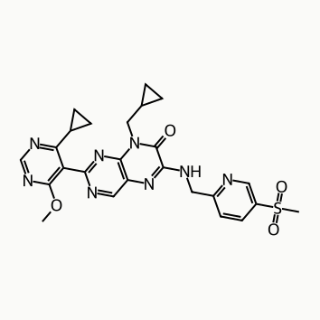 COc1ncnc(C2CC2)c1-c1ncc2nc(NCc3ccc(S(C)(=O)=O)cn3)c(=O)n(CC3CC3)c2n1